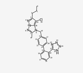 CCCc1nn2nc(C)n(Cc3ccc(-c4ccccc4-c4nnn[nH]4)cc3)c2c1Cl